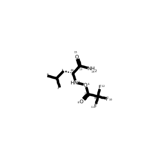 CC(C)C[C@@H](NOC(=O)C(F)(F)F)C(N)=O